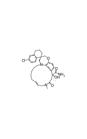 C[C@@H]1C(=O)N(C)C/C=C/CCCCCN2C[C@@]3(CCCc4cc(Cl)ccc43)COc3ccc(cc32)[C@]1(O)C(N)=O